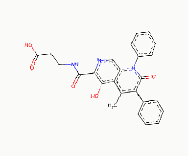 Cc1c(-c2ccccc2)c(=O)n(-c2ccccc2)c2cnc(C(=O)NCCC(=O)O)c(O)c12